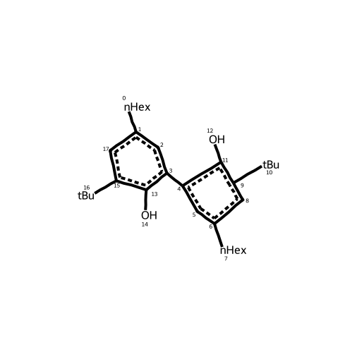 CCCCCCc1cc(-c2cc(CCCCCC)cc(C(C)(C)C)c2O)c(O)c(C(C)(C)C)c1